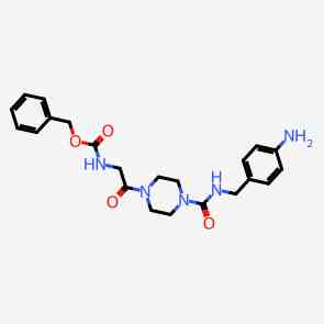 Nc1ccc(CNC(=O)N2CCN(C(=O)CNC(=O)OCc3ccccc3)CC2)cc1